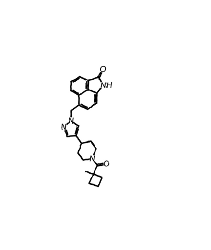 CC1(C(=O)N2CCC(c3cnn(Cc4ccc5c6c(cccc46)C(=O)N5)c3)CC2)CCC1